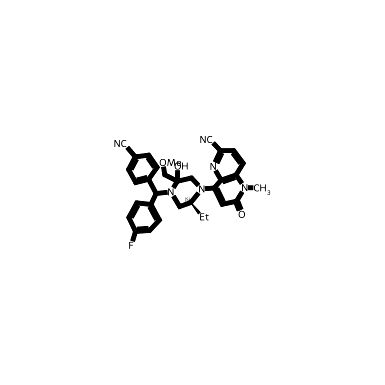 CC[C@H]1CN(C(c2ccc(F)cc2)c2ccc(C#N)cc2)C(O)(COC)CN1c1cc(=O)n(C)c2ccc(C#N)nc12